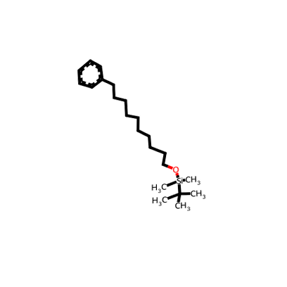 CC(C)(C)[Si](C)(C)OCCCCCCCCCCc1ccccc1